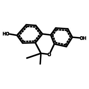 CC1(C)Oc2cc(O)ccc2-c2ccc(O)cc21